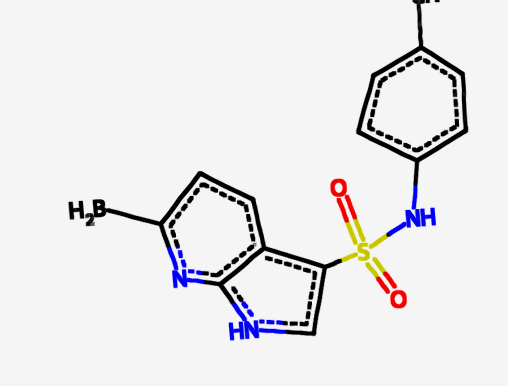 Bc1ccc2c(S(=O)(=O)Nc3ccc(C#N)cc3)c[nH]c2n1